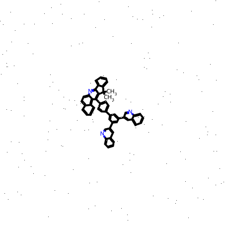 CC1(C)c2ccccc2-c2nc3ccc4ccccc4c3c(-c3ccc(-c4cc(-c5cnc6ccccc6c5)cc(-c5cnc6ccccc6c5)c4)cc3)c21